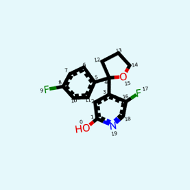 Oc1cc(C2(c3ccc(F)cc3)CCCO2)c(F)cn1